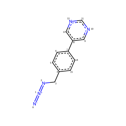 [N-]=[N+]=NCc1ccc(-c2cncnc2)cc1